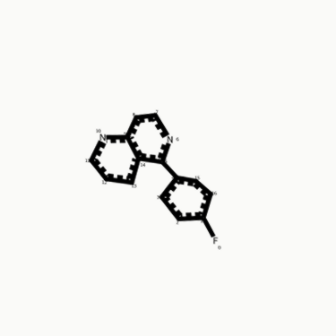 Fc1ccc(-c2nccc3ncccc23)cc1